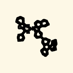 c1ccc(-c2nc(-n3c4ccc(-c5ccc6c(c5)-c5ccccc5C65C6CC7CC(C6)C5C7)cc4c4c5ccccc5ccc43)nc3c2oc2ccccc23)cc1